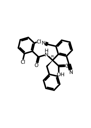 N#Cc1cccc(C#N)c1[C@@](Cc1ccccc1)(NC(=O)c1c(Cl)cccc1Cl)C(=O)O